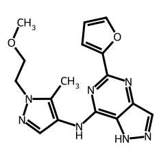 COCCn1ncc(Nc2nc(-c3ccco3)nc3cn[nH]c23)c1C